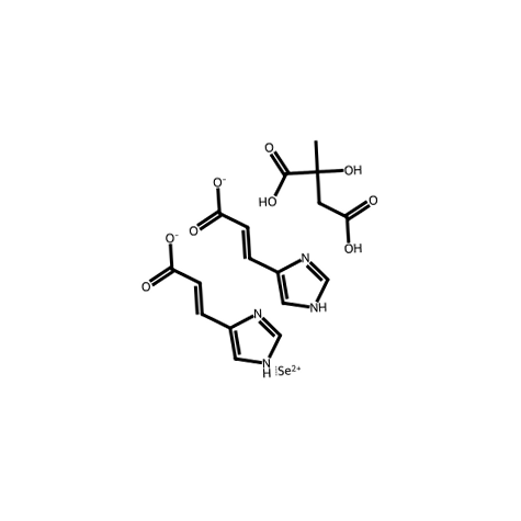 CC(O)(CC(=O)O)C(=O)O.O=C([O-])C=Cc1c[nH]cn1.O=C([O-])C=Cc1c[nH]cn1.[Se+2]